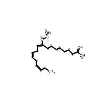 CC/C=C\C/C=C\C/C=C(\CCCCCCCC(=O)O)OOO